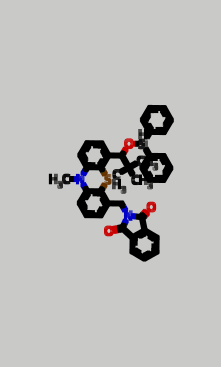 CN1c2cccc(CN3C(=O)c4ccccc4C3=O)c2Sc2c(C(O[SiH](c3ccccc3)c3ccccc3)C(C)(C)C)cccc21